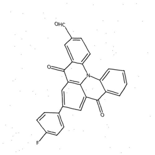 O=Cc1ccc2c(c1)c(=O)c1cc(-c3ccc(F)cc3)cc3c(=O)c4ccccc4n2c31